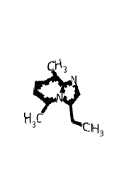 CCc1cnc2c(C)ccc(C)n12